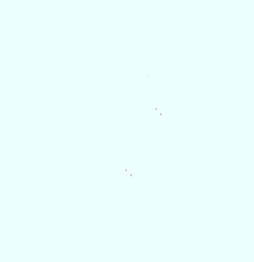 CCCCCc1nccc2ccccc12.c1cocn1